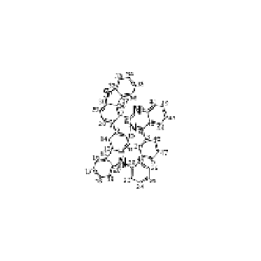 c1ccc(-c2nc(-c3c(-c4ccc5c(c4)c4ccccc4n5-c4ccccc4)ccc4sc5ccccc5c34)nc3ccccc23)cc1